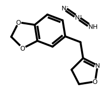 [N-]=[N+]=N.c1cc2c(cc1CC1=NOCC1)OCO2